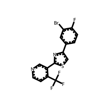 Fc1ccc(-c2csc(-c3cnccc3C(F)(F)F)n2)cc1Br